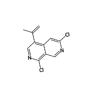 C=C(C)c1cnc(Cl)c2cnc(Cl)cc12